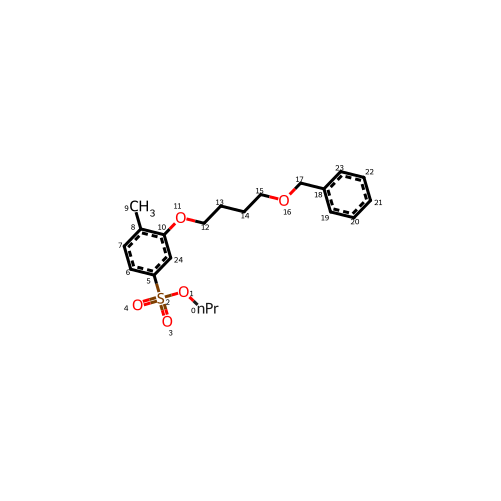 CCCOS(=O)(=O)c1ccc(C)c(OCCCCOCc2ccccc2)c1